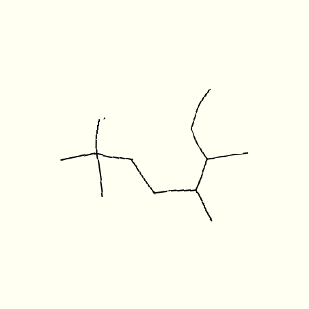 [CH2]C(C)(C)CCC(C)C(C)CC